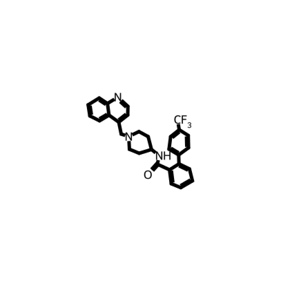 O=C(NC1CCN(Cc2ccnc3ccccc23)CC1)c1ccccc1-c1ccc(C(F)(F)F)cc1